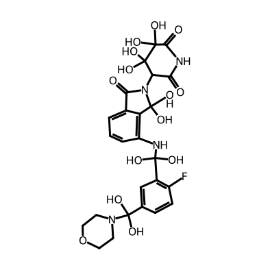 O=C1NC(=O)C(O)(O)C(O)(O)C1N1C(=O)c2cccc(NC(O)(O)c3cc(C(O)(O)N4CCOCC4)ccc3F)c2C1(O)O